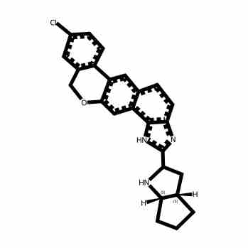 Clc1ccc2c(c1)COc1cc3c(ccc4nc(C5C[C@@H]6CCC[C@@H]6N5)[nH]c43)cc1-2